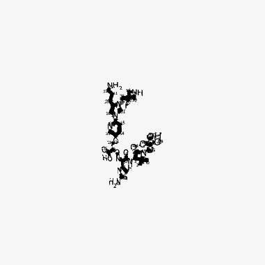 CC1(C)[C@H](NC(=O)/C(=N\O[C@@H](COc2ccc(-n3cc(CCCN)[n+](CC4(F)CNC4)c3)nc2)C(=O)O)c2csc(N)n2)C(=O)N1OS(=O)(=O)O